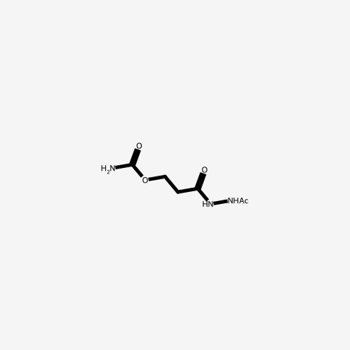 CC(=O)NNC(=O)CCOC(N)=O